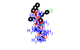 N=C(N)NC(NC(=O)C(NC(=N)N)NC(=O)C(NC(=N)N)NC(=O)C(NC(=N)N)NC(=O)C(NC(=O)C(O)N(Cc1c2ccccc2cc2ccccc12)c1nc(-c2ccc(Cl)cc2)cc(-c2ccc(Cl)cc2)n1)c1ccccc1)C(N)=O